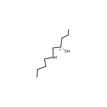 CCCCNC[C@@H](O)CCC